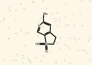 CC(C)(C)c1cc2c(cn1)S(=N)(=O)CC2